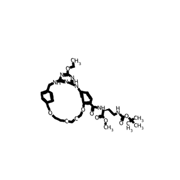 CCOc1nc2nc(n1)Nc1ccc(C(=O)N[C@@H](CCNC(=O)OC(C)(C)C)C(=O)OC)c(c1)OCCCCCCOc1ccc(cc1)CN2